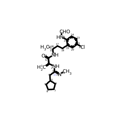 C=C(N/C(CC1CCCC1)=N\C)C(=O)N[C@H](C)CCc1cc(Cl)ccc1NC=O